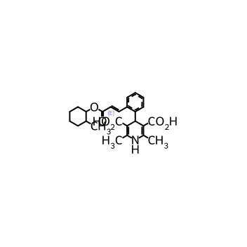 CC1=C(C(=O)O)C(c2ccccc2/C=C/C(=O)OC2CCCCC2C)C(C(=O)O)=C(C)N1